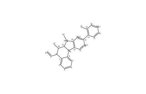 C=CC1c2ccccc2N2c3cnc(-c4ccncc4C)nc3N(C)C2C1C